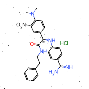 CN(C)c1ccc([C@@H](Nc2ccc(C(=N)N)cc2)C(=O)NCCc2ccccc2)cc1[N+](=O)[O-].Cl